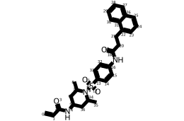 C=CC(=O)NC1CC(C)N(S(=O)(=O)c2ccc(NC(=O)CCc3cccc4ccccc34)cc2)C(C)C1